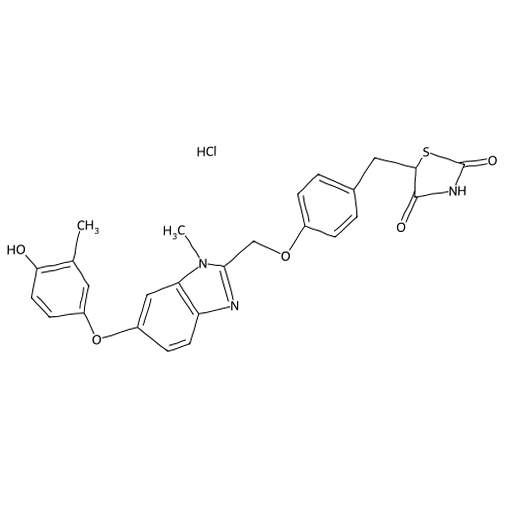 Cc1cc(Oc2ccc3nc(COc4ccc(CC5SC(=O)NC5=O)cc4)n(C)c3c2)ccc1O.Cl